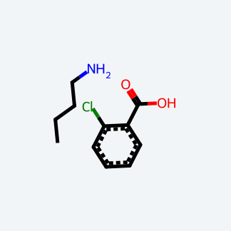 CCCCN.O=C(O)c1ccccc1Cl